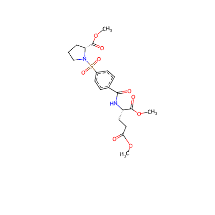 COC(=O)CC[C@H](NC(=O)c1ccc(S(=O)(=O)N2CCC[C@@H]2C(=O)OC)cc1)C(=O)OC